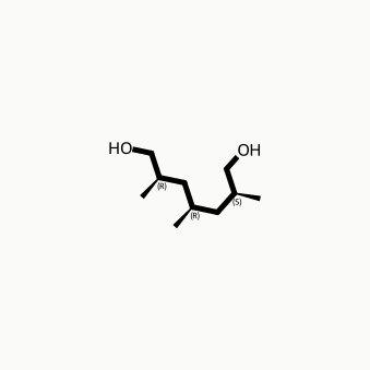 C[C@H](C[C@H](C)CO)C[C@@H](C)CO